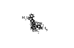 COc1ccccc1-c1ccc(S(=O)(=O)c2ccc(C)nc2Nc2c(C)cc(C)cc2C)cc1